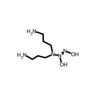 NCCCN(CCCN)/[N+](O)=N/O